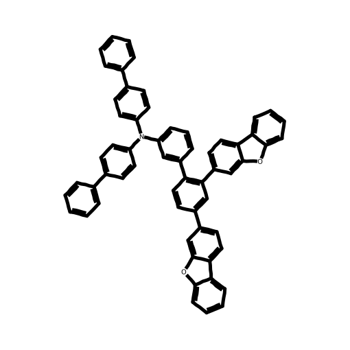 c1ccc(-c2ccc(N(c3ccc(-c4ccccc4)cc3)c3cccc(-c4ccc(-c5ccc6c(c5)oc5ccccc56)cc4-c4ccc5c(c4)oc4ccccc45)c3)cc2)cc1